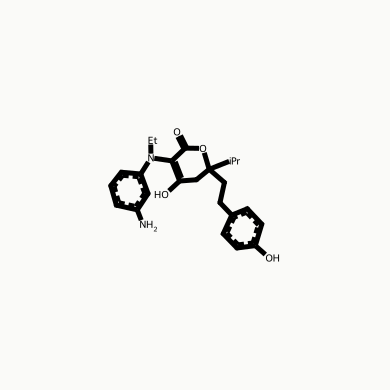 CCN(C1=C(O)CC(CCc2ccc(O)cc2)(C(C)C)OC1=O)c1cccc(N)c1